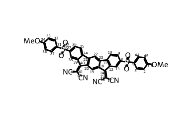 COc1ccc(S(=O)(=O)c2ccc3c(c2)C(=C(C#N)C#N)c2cc4c(cc2-3)-c2ccc(S(=O)(=O)c3ccc(OC)cc3)cc2C4=C(C#N)C#N)cc1